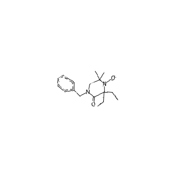 CCC1(CC)C(=O)N(Cc2ccccc2)CC(C)(C)N1[O]